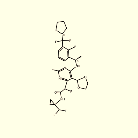 Cc1nc(N[C@H](C)c2cccc(C(F)(F)[C@@H]3CCCO3)c2F)c(C2OCCO2)c(C(F)C(=O)NC2(C(F)F)CC2)n1